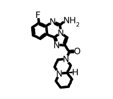 Nc1nc2c(F)cccc2c2nc(C(=O)N3CCN4CCCC[C@H]4C3)cn12